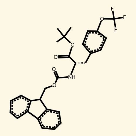 CC(C)(C)OC(=O)[C@H](Cc1ccc(OC(F)(F)F)cc1)NC(=O)OCC1c2ccccc2-c2ccccc21